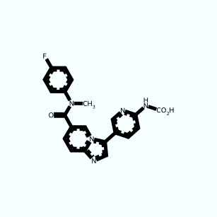 CN(C(=O)c1ccc2ncc(-c3ccc(NC(=O)O)nc3)n2c1)c1ccc(F)cc1